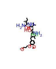 CC[C@H](C)[C@H](NC(=O)[C@@H](C[C@H](O)[C@@H](N)C[C@H](Cc1ccc(OC)c(OCCCOC)c1)C(C)C)C(C)C)C(N)=O.Cl